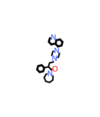 O=C(C(CCN1CCN(c2cccc3ncccc23)CC1)c1ccccc1)N1CCCCCC1